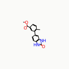 COC(=O)c1ccc(C)c(-c2ccc3[nH]c(=O)[nH]c3c2)c1